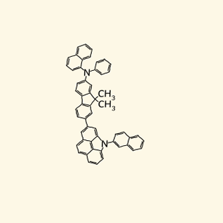 CC1(C)c2cc(-c3cc4ccc5cccc6c5c4c(c3)n6-c3ccc4ccccc4c3)ccc2-c2ccc(N(c3ccccc3)c3cccc4ccccc34)cc21